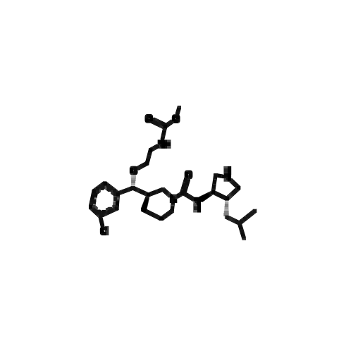 COC(=O)NCCO[C@@H](c1cccc(Cl)c1)[C@@H]1CCCN(C(=O)N[C@H]2CNC[C@@H]2CC(C)C)C1